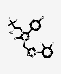 O=c1n(Cc2cn(-c3cccc(Cl)c3Cl)nn2)nc(-c2ccc(Cl)cc2)n1C[C@H](O)C(F)(F)F